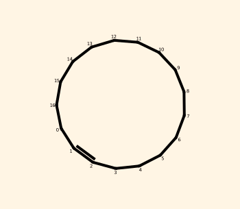 [CH]1C=CCCCCCCCCCCCCCC1